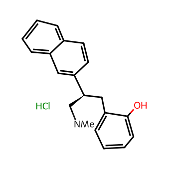 CNC[C@H](Cc1ccccc1O)c1ccc2ccccc2c1.Cl